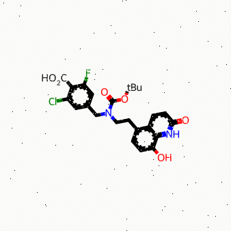 CC(C)(C)OC(=O)N(CCc1ccc(O)c2[nH]c(=O)ccc12)Cc1cc(F)c(C(=O)O)c(Cl)c1